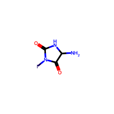 NC1NC(=O)N(I)C1=O